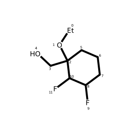 CCOC1(CO)CCCC(F)C1F